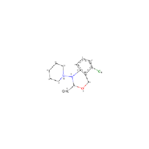 O=CC1OCc2c(Cl)cccc2N1N1CCCCC1